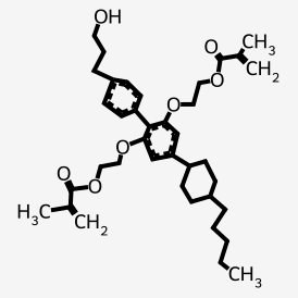 C=C(C)C(=O)OCCOc1cc(C2CCC(CCCCC)CC2)cc(OCCOC(=O)C(=C)C)c1-c1ccc(CCCO)cc1